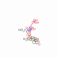 C[C@H]1CC2C3CCC4=CC(=O)C=C[C@]4(C)[C@@]3(Cl)[C@@H](O)C[C@]2(C)[C@@]1(OC(=O)CCCON(O)O)C(=O)COC(=O)CC(NC(=O)CCCCCON(O)O)C(=O)O